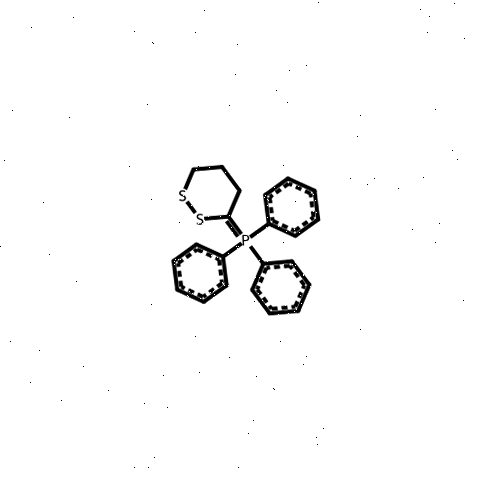 c1ccc(P(=C2CCCSS2)(c2ccccc2)c2ccccc2)cc1